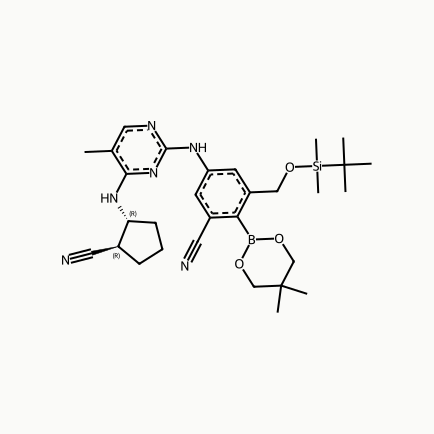 Cc1cnc(Nc2cc(C#N)c(B3OCC(C)(C)CO3)c(CO[Si](C)(C)C(C)(C)C)c2)nc1N[C@@H]1CCC[C@H]1C#N